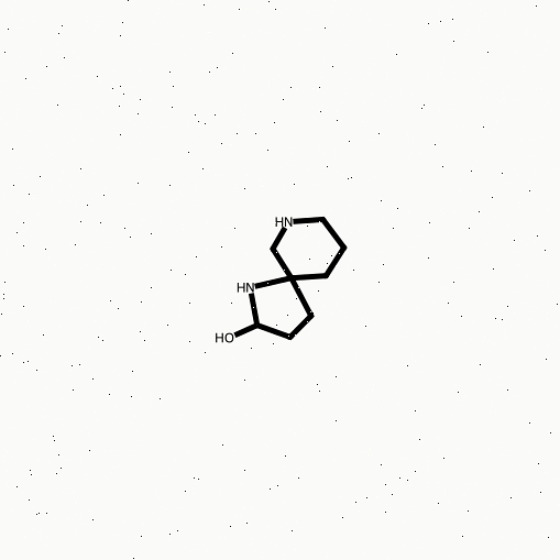 OC1CCC2(CCCNC2)N1